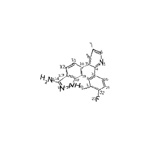 Cc1cc(-c2ncccc2-c2ccc3c(N)n[nH]c3c2)ccc1F